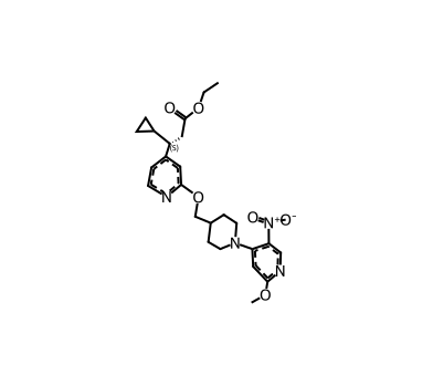 CCOC(=O)C[C@H](c1ccnc(OCC2CCN(c3cc(OC)ncc3[N+](=O)[O-])CC2)c1)C1CC1